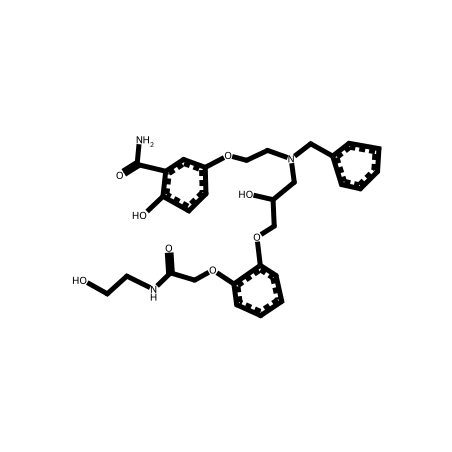 NC(=O)c1cc(OCCN(Cc2ccccc2)CC(O)COc2ccccc2OCC(=O)NCCO)ccc1O